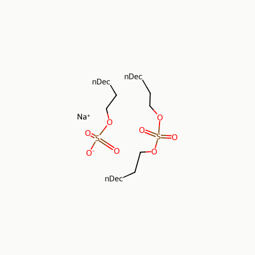 CCCCCCCCCCCCOS(=O)(=O)OCCCCCCCCCCCC.CCCCCCCCCCCCOS(=O)(=O)[O-].[Na+]